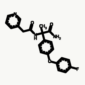 CC(NC(=O)Cc1cccnc1)(C(N)=O)c1ccc(Oc2ccc(F)cc2)cc1